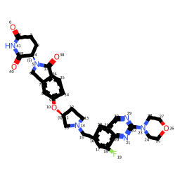 O=C1CC[C@H](N2Cc3cc(O[C@H]4CCN(Cc5cc(F)c6nc(N7CCOCC7)ncc6c5)C4)ccc3C2=O)C(=O)N1